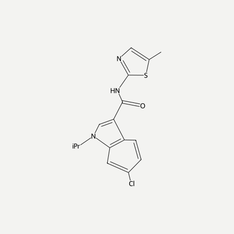 Cc1cnc(NC(=O)c2cn(C(C)C)c3cc(Cl)ccc23)s1